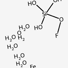 O.O.O.O.O.O.O[Si](O)(O)OF.[Fe]